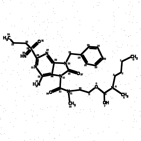 CCCCN(C)C(O)OCCN(C)C(=O)n1c(=O)n(Cc2ccccc2)c2nc(S(=N)(=O)CCC)nc(N)c21